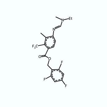 CCN(C)/C=N/c1ccc(C(=O)OCc2c(F)cc(F)cc2F)c(C(F)(F)F)c1C